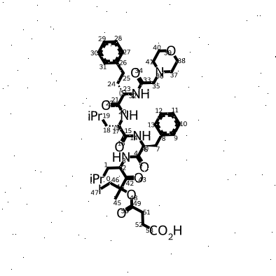 CC(C)CC(NC(=O)[C@H](Cc1ccccc1)NC(=O)[C@H](CC(C)C)NC(=O)[C@H](CCc1ccccc1)NC(=O)CN1CCOCC1)C(=O)C(C)(CI)OC(=O)CCC(=O)O